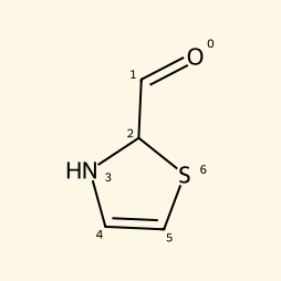 O=CC1NC=CS1